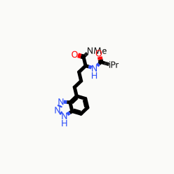 CNC(=O)C(CCCc1cccc2[nH]nnc12)NC(=O)C(C)C